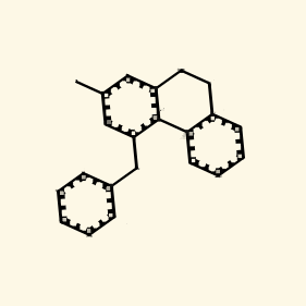 Cc1cc2c(c(Cc3ccccc3)c1)-c1ccccc1CC2